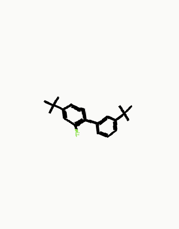 CC(C)(C)c1cccc(-c2ccc(C(C)(C)C)cc2F)c1